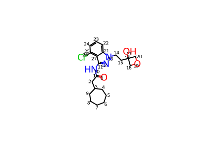 O=C(CC1CCCCCC1)Nc1nn(CCC2(O)COC2)c2cccc(Cl)c12